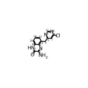 Nc1nc2c(Cc3cc(Cl)ncn3)cccc2[nH]c1=O